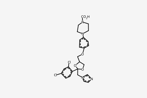 O=C(O)N1CCN(c2ccc(OCC3COC(Cn4ccnc4)(c4ccc(Cl)cc4Cl)O3)cc2)CC1